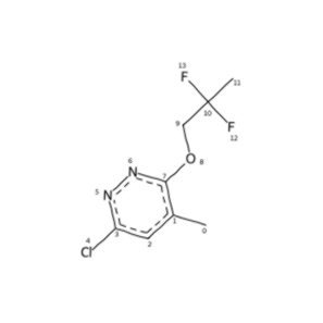 Cc1cc(Cl)nnc1OCC(C)(F)F